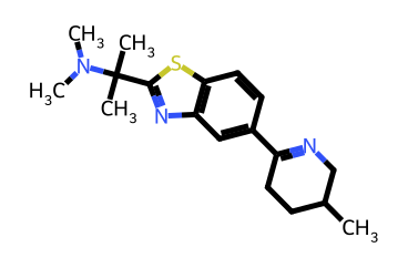 CC1CCC(c2ccc3sc(C(C)(C)N(C)C)nc3c2)=NC1